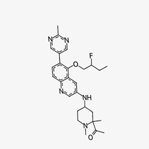 CCC(F)COc1c(-c2cnc(C)nc2)ccc2ncc(NC3CCN(C)C(C)(C(C)=O)C3)cc12